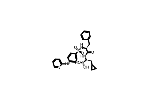 O=C(N[C@@H](CC1CC1)B(O)O)[C@H](Cc1ccccc1)NS(=O)(=O)c1ccc(Nc2ccccn2)cc1